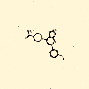 COc1cccc(-c2cc(N3CCC(C(N)=O)CC3)c3sccc3n2)c1.Cl